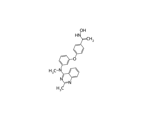 C=C(NO)c1ccc(Oc2cccc(N(C)c3nc(C)nc4ccccc34)c2)cc1